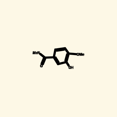 CNC(=O)c1ccc(OC)c(O)c1